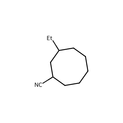 CCC1CCCCCC(C#N)C1